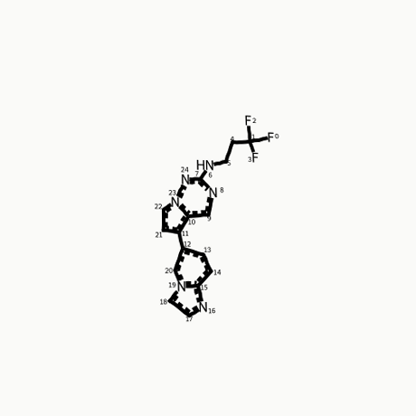 FC(F)(F)CCNc1ncc2c(-c3ccc4nccn4c3)ccn2n1